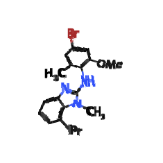 COc1cc(Br)cc(C)c1Nc1nc2cccc(C(C)C)c2n1C